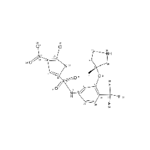 C[C@@]1(Oc2cc(NS(=O)(=O)c3cc([N+](=O)[O-])c(Cl)s3)ccc2C(F)(F)F)CCNC1